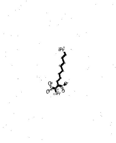 CC(C)CCCCCCCCC(C(C(C)C)=S(=O)=O)=S(=O)=O